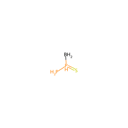 B[PH](P)=S